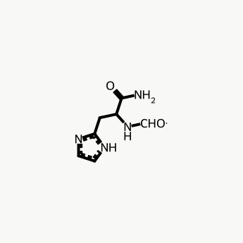 NC(=O)C(Cc1ncc[nH]1)N[C]=O